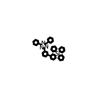 c1ccc(-c2nc(-c3ccccc3)nc(-c3cccc(-c4cccc([Si](c5ccccc5)(c5ccccc5)c5ccccc5)c4)c3)n2)cc1